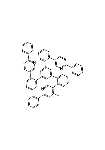 Cc1cc(-c2ccccc2)ncc1-c1ccccc1-c1cc(-c2ccccc2-c2ccc(-c3ccccc3)nc2)cc(-c2ccccc2-c2ccc(-c3ccccc3)nc2)c1